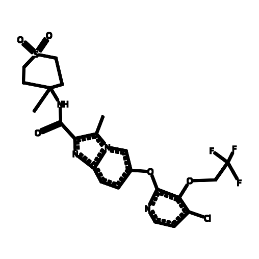 Cc1c(C(=O)NC2(C)CCS(=O)(=O)CC2)nc2ccc(Oc3nccc(Cl)c3OCC(F)(F)F)cn12